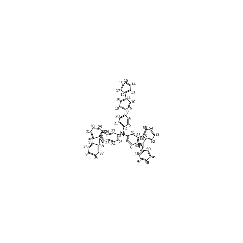 C1=CC(N(c2ccc(-c3ccc(-c4ccccc4)cc3)cc2)c2ccc3c(c2)c2cccc4c5ccccc5n3c42)Cc2c1n(-c1ccccc1)c1ccccc21